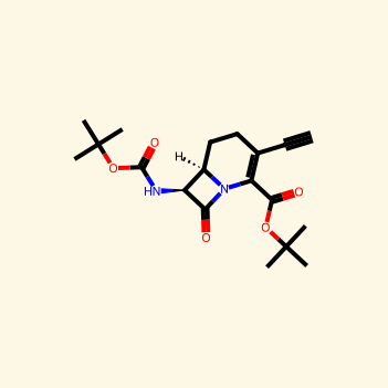 C#CC1=C(C(=O)OC(C)(C)C)N2C(=O)[C@@H](NC(=O)OC(C)(C)C)[C@H]2CC1